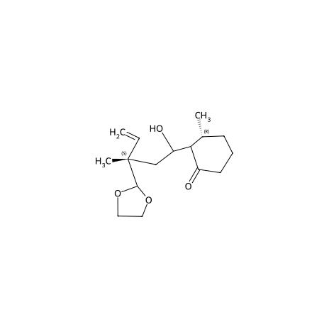 C=C[C@](C)(CC(O)C1C(=O)CCC[C@H]1C)C1OCCO1